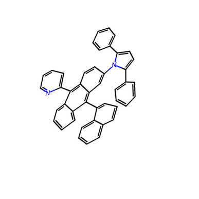 c1ccc(-c2ccc(-c3ccccc3)n2-c2ccc3c(-c4ccccn4)c4ccccc4c(-c4cccc5ccccc45)c3c2)cc1